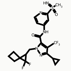 CS(=N)(=O)c1cc(NC(=O)c2c(C(F)(F)F)c(C3CC3)nn2CC2C(F)(F)C23CCC3)ccn1